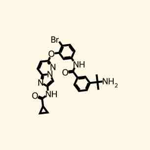 CC(C)(N)c1cccc(C(=O)Nc2ccc(Br)c(Oc3ccc4nc(NC(=O)C5CC5)cn4n3)c2)c1